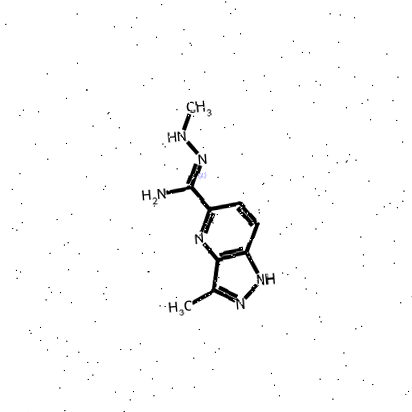 CN/N=C(\N)c1ccc2[nH]nc(C)c2n1